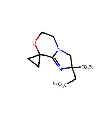 CCOC(=O)CC1(C(=O)OCC)CN2CCOC3(CC3)C2=N1